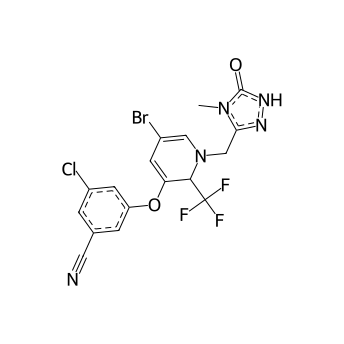 Cn1c(CN2C=C(Br)C=C(Oc3cc(Cl)cc(C#N)c3)C2C(F)(F)F)n[nH]c1=O